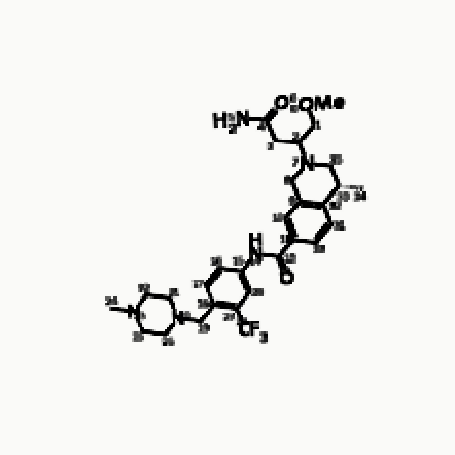 COCC(CC(N)=O)N1Cc2cc(C(=O)Nc3ccc(CN4CCN(C)CC4)c(C(F)(F)F)c3)ccc2[C@@H](C)C1